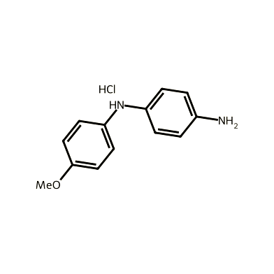 COc1ccc(Nc2ccc(N)cc2)cc1.Cl